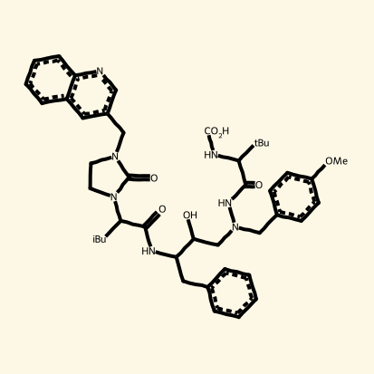 CCC(C)C(C(=O)NC(Cc1ccccc1)C(O)CN(Cc1ccc(OC)cc1)NC(=O)C(NC(=O)O)C(C)(C)C)N1CCN(Cc2cnc3ccccc3c2)C1=O